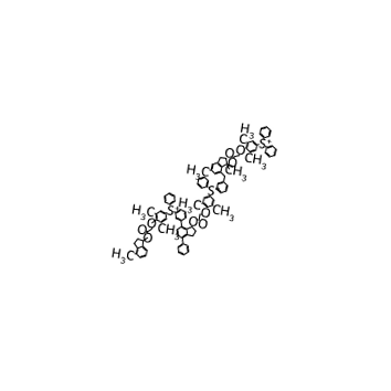 Cc1cc2c(c(Cc3cccc([S+](c4ccccc4)c4cc(C)c(OCC(=O)OC5CCc6c(-c7ccccc7)ccc(-c7cccc([S+](c8ccccc8)c8cc(C)c(OCC(=O)OC9CCc%10c(C)cccc%109)c(C)c8)c7)c65)c(C)c4)c3)c1)C(C)(OC(=O)COc1c(C)cc([S+](c3ccccc3)c3ccccc3)cc1C)CC2